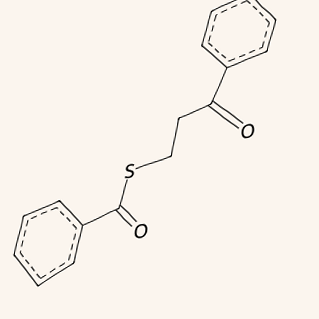 O=C(CCSC(=O)c1ccccc1)c1ccccc1